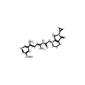 COc1cncc(/C(N)=C/C=C(\N)NC(=O)CN2CCCC3=C2C(=O)N(C2CC2)C3=O)c1